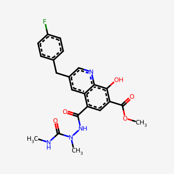 CNC(=O)N(C)NC(=O)c1cc(C(=O)OC)c(O)c2ncc(Cc3ccc(F)cc3)cc12